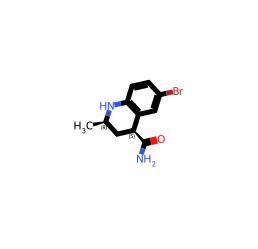 C[C@@H]1C[C@H](C(N)=O)c2cc(Br)ccc2N1